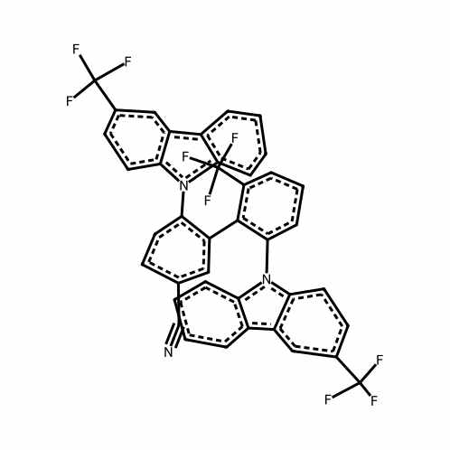 N#Cc1ccc(-n2c3ccccc3c3cc(C(F)(F)F)ccc32)c(-c2c(-n3c4ccccc4c4cc(C(F)(F)F)ccc43)cccc2C(F)(F)F)c1